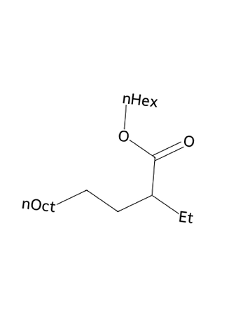 CCCCCCCCCCC(CC)C(=O)OCCCCCC